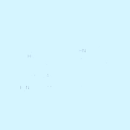 CC(=O)Nc1cccc([As](=O)(ON)OO)c1